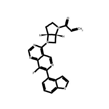 C=CC(=O)N1CC[C@@H]2[C@H]1CN2c1ncnc2c(F)c(-c3cccc4sccc34)ncc12